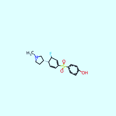 CN1CC[C@@H](C2C=CC(S(=O)(=O)c3ccc(O)cc3)=CC2F)C1